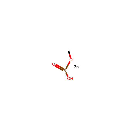 COS(=O)O.[Zn]